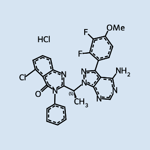 COc1ccc(-c2nn([C@@H](C)c3nc4cccc(Cl)c4c(=O)n3-c3ccccc3)c3ncnc(N)c23)c(F)c1F.Cl